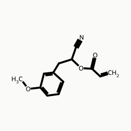 C=CC(=O)OC(C#N)Cc1cccc(OC)c1